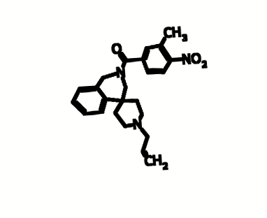 C=CCN1CCC2(CC1)CN(C(=O)c1ccc([N+](=O)[O-])c(C)c1)Cc1ccccc12